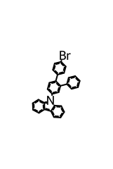 Brc1ccc(-c2ccc(-n3c4ccccc4c4ccccc43)cc2-c2ccccc2)cc1